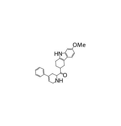 COc1ccc2c3c([nH]c2c1)CCC(C(=O)C1CC(c2ccccc2)=CCN1)C3